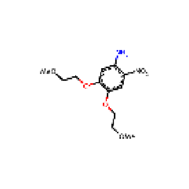 COCCOc1cc(N)c([N+](=O)[O-])cc1OCCOC